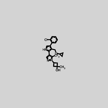 CC1(O)CC(n2ncc(-c3[nH]cc(-c4ccccc4Cl)c3COC3CC3)c2C(F)(F)F)C1